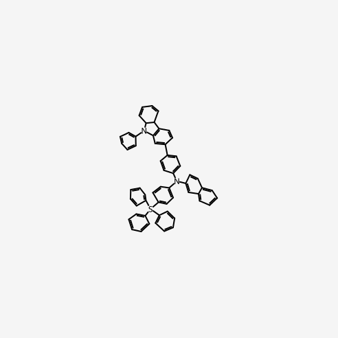 C1=CC2c3ccc(-c4ccc(N(c5ccc(S(c6ccccc6)(c6ccccc6)c6ccccc6)cc5)c5ccc6ccccc6c5)cc4)cc3N(c3ccccc3)C2C=C1